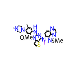 COc1cc(N2CCN(C)CC2)c(C)cc1Nc1nc(N(I)c2ccc3nccnc3c2N(C)SC)c2sccc2n1